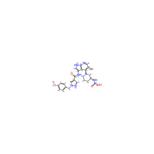 COc1ccc(Cn2cc(C(=O)Nc3c[nH]c4ncc(Br)c(N5CCCC(NC(=O)O)C5)c34)cn2)cc1